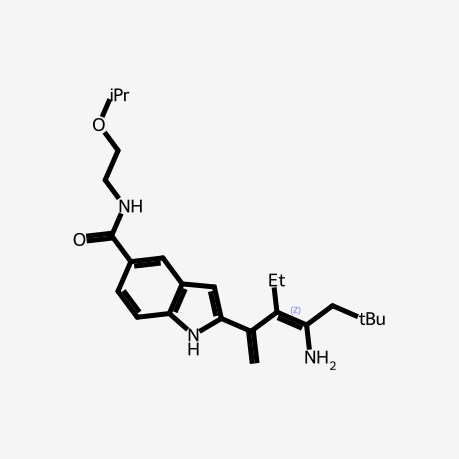 C=C(/C(CC)=C(\N)CC(C)(C)C)c1cc2cc(C(=O)NCCOC(C)C)ccc2[nH]1